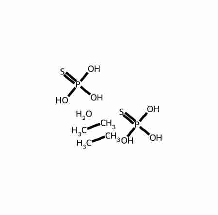 CC.CC.O.OP(O)(O)=S.OP(O)(O)=S